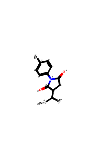 CCCCCC(CCC)C1CC(=O)N(c2ccc(CC)cc2)C1=O